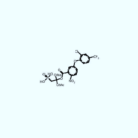 COC(CP(=O)(O)O)(OC)OC(=O)c1cc(Oc2ccc(C(F)(F)F)cc2Cl)ccc1[N+](=O)[O-]